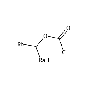 O=C(Cl)O[CH]([Rb])[RaH]